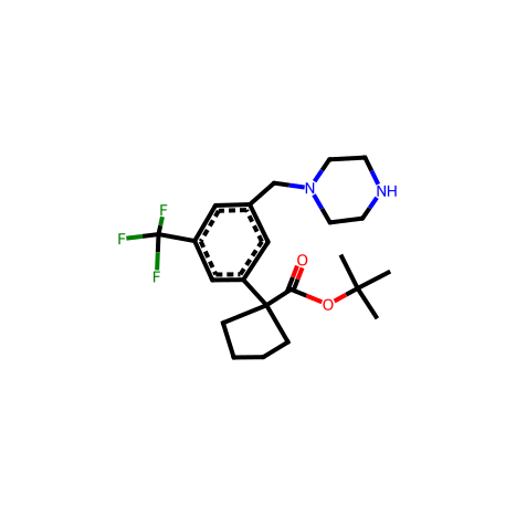 CC(C)(C)OC(=O)C1(c2cc(CN3CCNCC3)cc(C(F)(F)F)c2)CCCC1